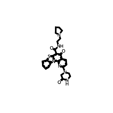 O=C1CN(c2ccc3c(=O)c(C(=O)NCCN4CCCC4)c4sc5ccccc5n4c3n2)CCN1